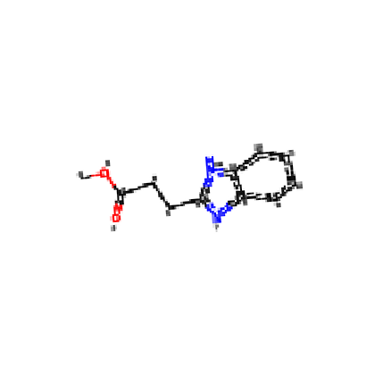 COC(=O)CCc1nc2ccccc2[nH]1